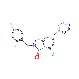 O=C1c2c(Cl)cc(-c3ccncc3)cc2CN1Cc1ccc(F)cc1F